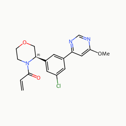 C=CC(=O)N1CCOC[C@H]1c1cc(Cl)cc(-c2cc(OC)ncn2)c1